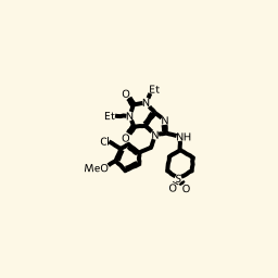 CCn1c(=O)c2c(nc(NC3CCS(=O)(=O)CC3)n2Cc2ccc(OC)c(Cl)c2)n(CC)c1=O